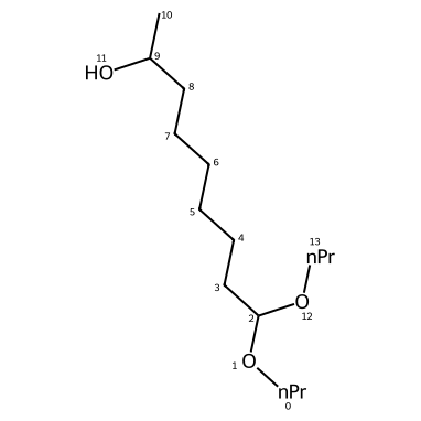 CCCOC(CCCCCCC(C)O)OCCC